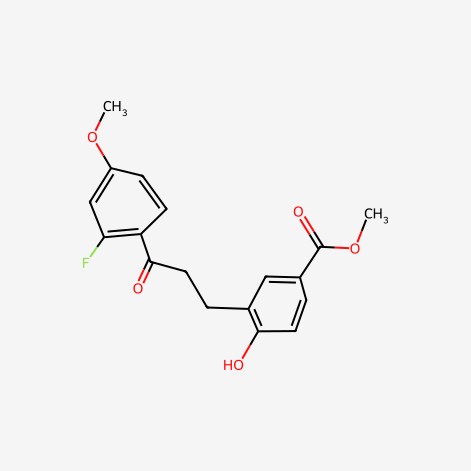 COC(=O)c1ccc(O)c(CCC(=O)c2ccc(OC)cc2F)c1